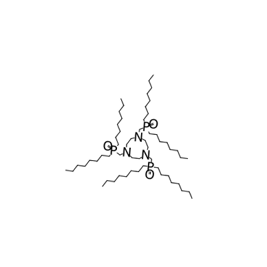 CCCCCCCCP(=O)(CCCCCCCC)CN1CCN(CP(=O)(CCCCCCCC)CCCCCCCC)CCN(CP(=O)(CCCCCCCC)CCCCCCCC)CC1